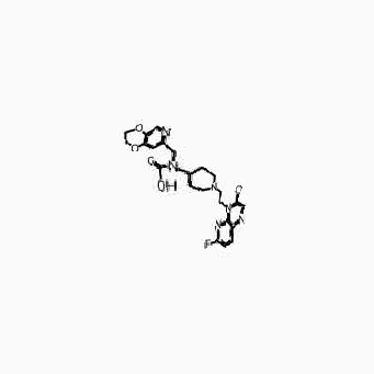 O=C(O)N(Cc1cc2c(cn1)OCCO2)C1CCN(CCn2c(=O)cnc3ccc(F)nc32)CC1